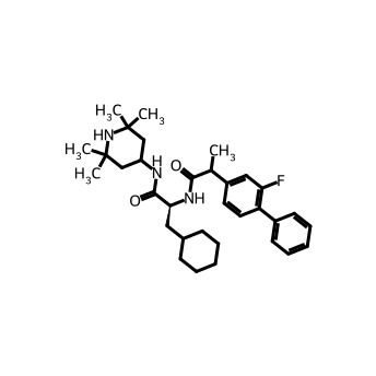 CC(C(=O)N[C@@H](CC1CCCCC1)C(=O)NC1CC(C)(C)NC(C)(C)C1)c1ccc(-c2ccccc2)c(F)c1